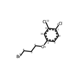 Clc1ccc(OCCCBr)cc1Cl